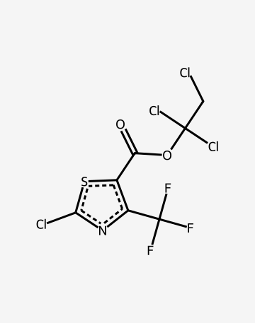 O=C(OC(Cl)(Cl)CCl)c1sc(Cl)nc1C(F)(F)F